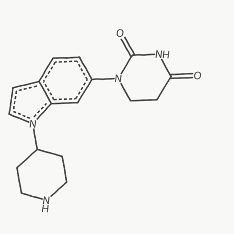 O=C1CCN(c2ccc3ccn(C4CCNCC4)c3c2)C(=O)N1